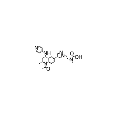 CC(=O)N1c2ccc(-c3cnn(CCN(C)C(=O)O)c3)cc2[C@H](Nc2ccncc2)C[C@@H]1C